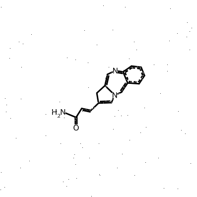 NC(=O)C=CC1=CN2C=c3ccccc3=NC=C2C1